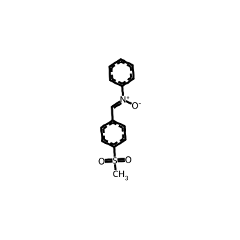 CS(=O)(=O)c1ccc(C=[N+]([O-])c2ccccc2)cc1